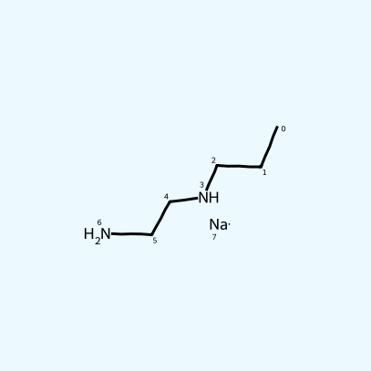 CCCNCCN.[Na]